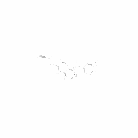 C#CCOc1ccc2c(Nc3cccc(F)c3)ncnc2c1